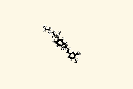 COc1ccc(C=Cc2nc3cc(C)c(N(C)CCOCCF)cc3s2)cc1Br